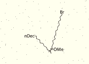 CCCCCCCCCCCCCCCCCC[C@H](C)[C@H](CCCCCCCCCCCCCCBr)OC